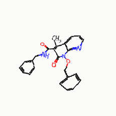 Cc1c(C(=O)NCc2ccccc2)c(=O)n(OCc2ccccc2)c2ncccc12